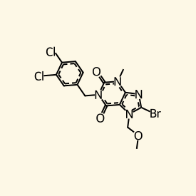 COCn1c(Br)nc2c1c(=O)n(Cc1ccc(Cl)c(Cl)c1)c(=O)n2C